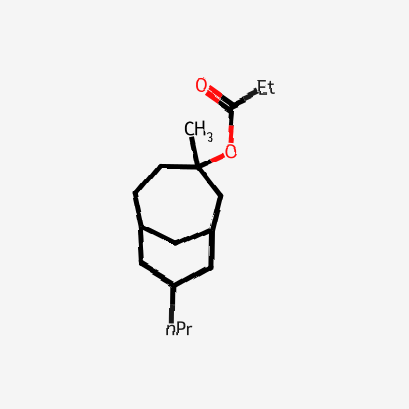 CCCC1CC2CCC(C)(OC(=O)CC)CC(C1)C2